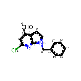 O=Cc1cc(Cl)nc2c1ccn2Cc1ccccc1